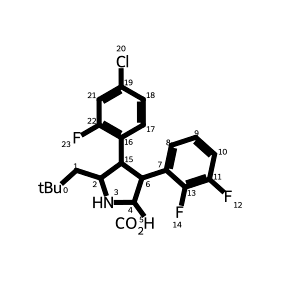 CC(C)(C)CC1NC(C(=O)O)C(c2cccc(F)c2F)C1c1ccc(Cl)cc1F